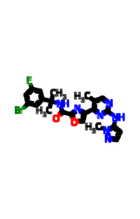 Cc1cnc(Nc2ccnn2C)nc1-c1coc(C(=O)NC(C)(C)c2cc(F)cc(Br)c2)n1